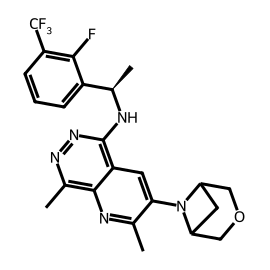 Cc1nc2c(C)nnc(N[C@H](C)c3cccc(C(F)(F)F)c3F)c2cc1N1C2COCC1C2